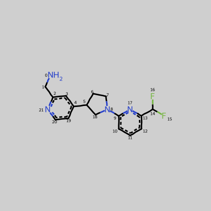 NCc1cc(C2CCN(c3cccc(C(F)F)n3)C2)ccn1